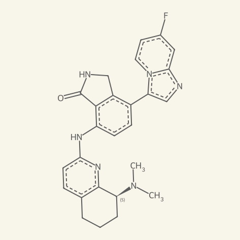 CN(C)[C@H]1CCCc2ccc(Nc3ccc(-c4cnc5cc(F)ccn45)c4c3C(=O)NC4)nc21